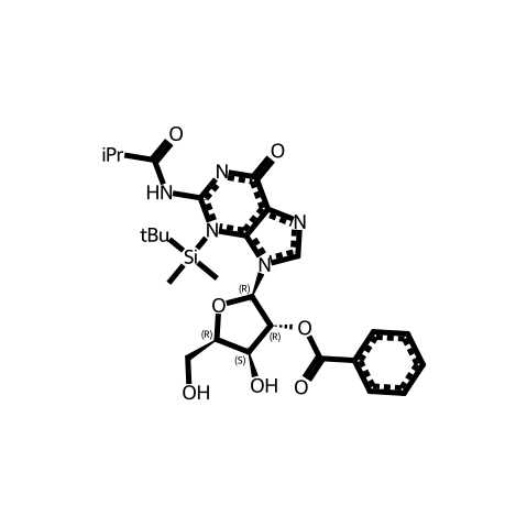 CC(C)C(=O)Nc1nc(=O)c2ncn([C@@H]3O[C@H](CO)[C@H](O)[C@H]3OC(=O)c3ccccc3)c2n1[Si](C)(C)C(C)(C)C